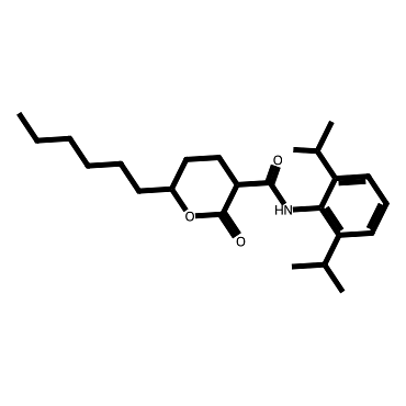 CCCCCCC1CCC(C(=O)Nc2c(C(C)C)cccc2C(C)C)C(=O)O1